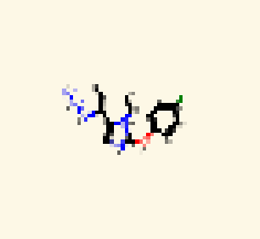 CCC(N=[N+]=[N-])c1cnc(Oc2ccc(F)cc2)n1CC